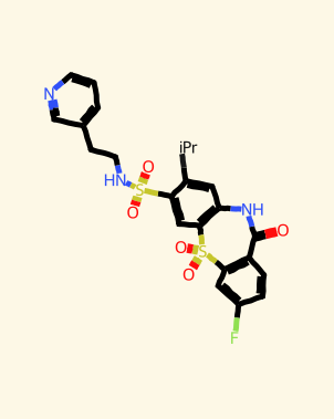 CC(C)c1cc2c(cc1S(=O)(=O)NCCc1cccnc1)S(=O)(=O)c1cc(F)ccc1C(=O)N2